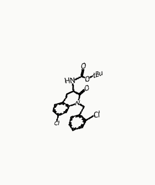 CC(C)(C)OC(=O)NC1Cc2ccc(Cl)cc2N(Cc2ccccc2Cl)C1=O